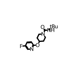 CC(C)(C)NC(=O)N1CCC(Oc2ccc(F)cn2)CC1